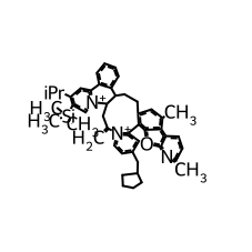 C=C1CC2C(CCc3cc(C)c4c(oc5nc(C)ccc54)c3-c3cc(CC4CCCC4)cc[n+]31)c1ccccc1-c1cc(C(C)C)c([Si](C)(C)C)c[n+]12